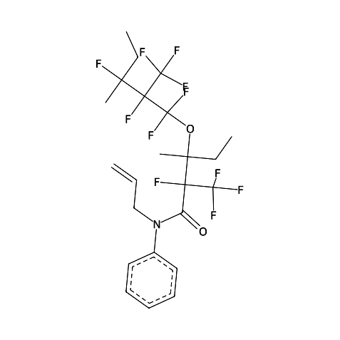 C=CCN(C(=O)C(F)(C(F)(F)F)C(C)(CC)OC(F)(F)C(F)(C(F)(F)F)C(C)(F)CC)c1ccccc1